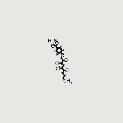 CCCCC(Cl)C(Cl)CC(Cl)C(Cl)COc1ccc(C(=O)OC)cc1